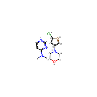 CN(C)c1ccncn1.Clc1cc(N2CCOCC2)cs1